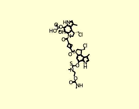 CNC(=O)OCCN(C)C(=S)Oc1cc2c(c3c(C)c[nH]c13)[C@H](CCl)CN2C(=O)C12CC(C(=O)N3C[C@@H](CCl)c4c3cc(OP(=O)(O)O)c3[nH]cc(C)c43)(C1)C2